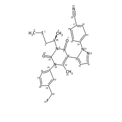 CSC[C@@H](C)n1c(=O)c(-c2ccnn2-c2ccc(C#N)cc2)c(C)n(-c2cccc(CF)c2)c1=O